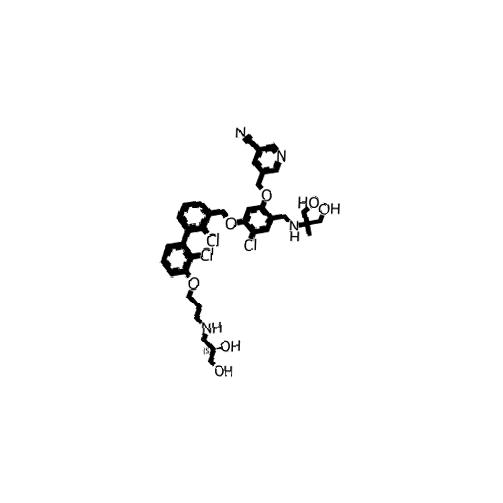 CC(CO)(CO)NCc1cc(Cl)c(OCc2cccc(-c3cccc(OCCCNC[C@H](O)CO)c3Cl)c2Cl)cc1OCc1cncc(C#N)c1